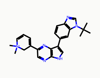 CC(C)(C)n1cnc2ccc(-c3c[nH]c4ncc(C5=CC=C[N+](C)(C)C5)nc34)cc21